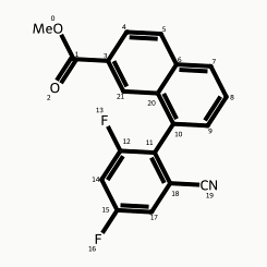 COC(=O)c1ccc2cccc(-c3c(F)cc(F)cc3C#N)c2c1